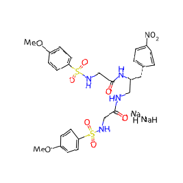 COc1ccc(S(=O)(=O)NCC(=O)NCC(Cc2ccc([N+](=O)[O-])cc2)NC(=O)CNS(=O)(=O)c2ccc(OC)cc2)cc1.[NaH].[NaH]